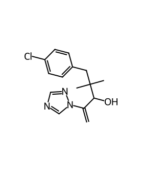 C=C(C(O)C(C)(C)Cc1ccc(Cl)cc1)n1cncn1